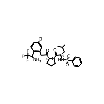 CC(C)C[C@@H](NS(=O)(=O)c1ccccc1)C(=O)N1CCC[C@H]1C(=O)[CH]c1cc(Cl)ccc1C(N)C(F)(F)F